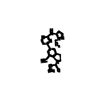 Cn1nccc1Nc1nccc(-c2cc(C#N)c3c(c2)CCN3C(=O)OC(C)(C)C)n1